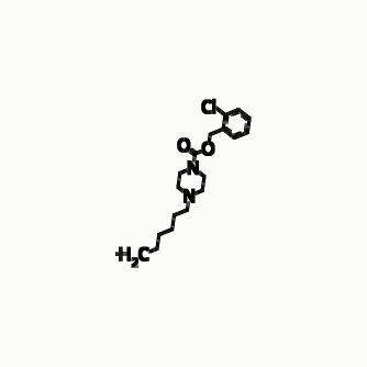 [CH2]CCCCCN1CCN(C(=O)OCc2ccccc2Cl)CC1